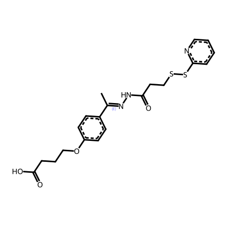 C/C(=N\NC(=O)CCSSc1ccccn1)c1ccc(OCCCC(=O)O)cc1